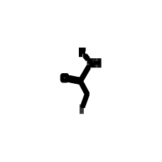 O=C(CI)NF